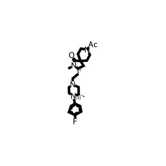 CC(=O)N1CCC2(CC1)C[C@H](CCN1CCN(c3ccc(F)cc3)[C@@H](C)C1)N(C)C2=O